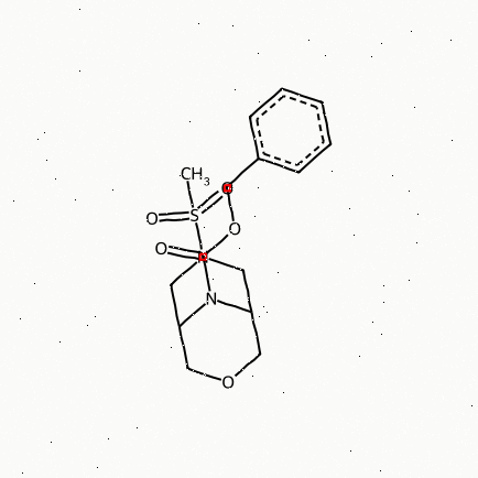 CS(=O)(=O)N1CC2COCC(C1)N2C(=O)OCc1ccccc1